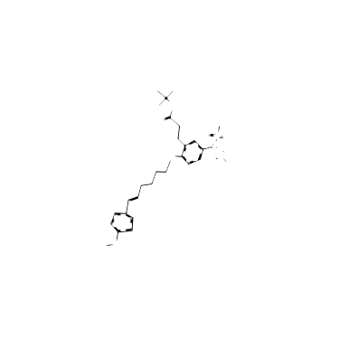 COc1ccc(/C=C/CCCCOc2ccc(N(S(C)(=O)=O)S(C)(=O)=O)cc2CCC(=O)OC(C)(C)C)cc1